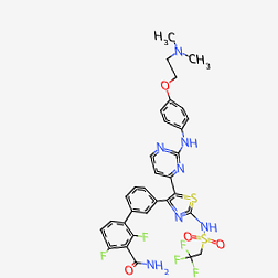 CN(C)CCOc1ccc(Nc2nccc(-c3sc(NS(=O)(=O)CC(F)(F)F)nc3-c3cccc(-c4ccc(F)c(C(N)=O)c4F)c3)n2)cc1